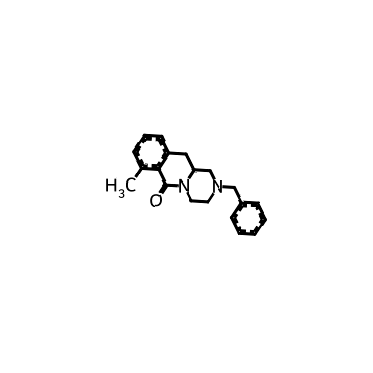 Cc1cccc2c1C(=O)N1CCN(Cc3ccccc3)CC1C2